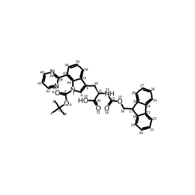 CC(C)(C)OC(=O)n1cc(C[C@@H](NC(=O)OCC2c3ccccc3-c3ccccc32)C(=O)O)c2cccc(-c3ncccn3)c21